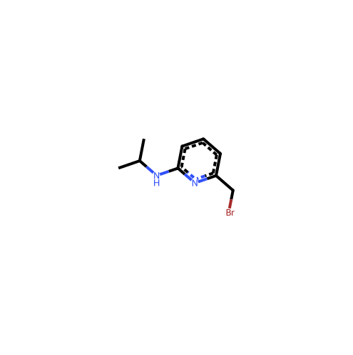 CC(C)Nc1cccc(CBr)n1